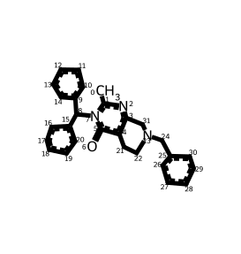 Cc1nc2c(c(=O)n1C(c1ccccc1)c1ccccc1)CCN(Cc1ccccc1)C2